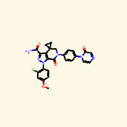 COc1ccc(-n2nc(C(N)=O)c3c2C(=O)N(c2ccc(-n4ccncc4=O)cc2)CC32CC2)c(F)c1